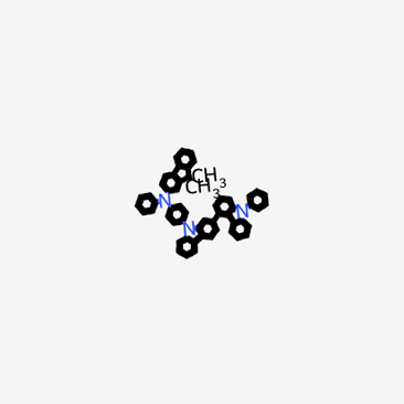 CC1(C)c2ccccc2-c2ccc(N(c3ccccc3)c3ccc(-n4c5ccccc5c5ccc(-c6cccc7c6c6ccccc6n7-c6ccccc6)cc54)cc3)cc21